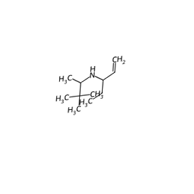 C=CC(CC)NC(C)C(C)(C)C